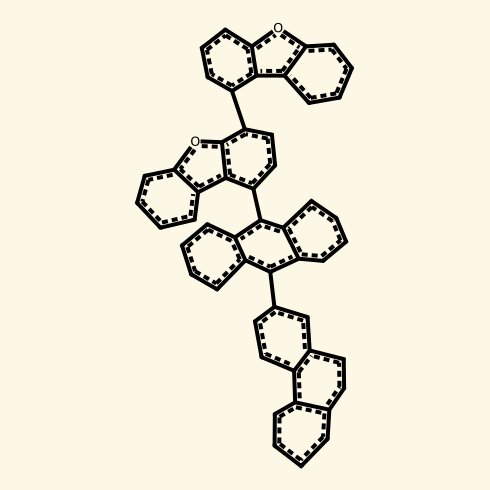 c1ccc2c(c1)ccc1cc(-c3c4ccccc4c(-c4ccc(-c5cccc6oc7ccccc7c56)c5oc6ccccc6c45)c4ccccc34)ccc12